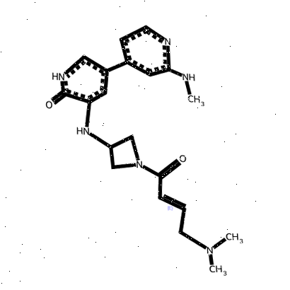 CNc1cc(-c2c[nH]c(=O)c(NC3CN(C(=O)/C=C/CN(C)C)C3)c2)ccn1